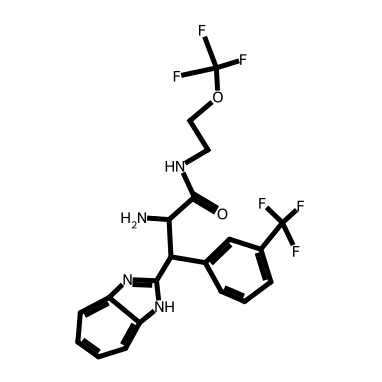 NC(C(=O)NCCOC(F)(F)F)C(c1cccc(C(F)(F)F)c1)c1nc2ccccc2[nH]1